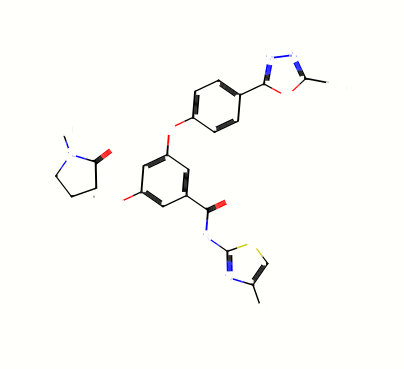 Cc1csc(NC(=O)c2cc(Oc3ccc(-c4nnc(C)o4)cc3)cc(O[C@@H]3CCN(C)C3=O)c2)n1